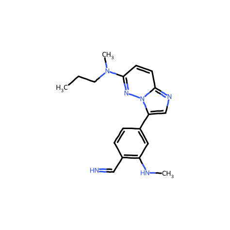 CCCN(C)c1ccc2ncc(-c3ccc(C=N)c(NC)c3)n2n1